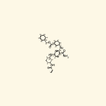 C=CC(=O)NC1CCC[C@@H](Nc2cnc(C(N)=O)c(Nc3cccc(C(=O)OCc4ccccc4)c3)n2)C1